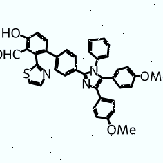 COc1ccc(-c2nc(-c3ccc(-c4ccc(O)c(C=O)c4-c4nccs4)cc3)n(-c3ccccc3)c2-c2ccc(OC)cc2)cc1